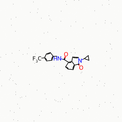 O=C(NCc1ccc(C(F)(F)F)cc1)c1cccc2c(=O)n(C3CC3)ccc12